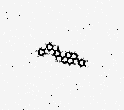 Cc1ccc(-c2ccc3ccc4c(-c5cc(C)c(-c6cccc7c6oc6ccccc67)cc5C)ccc5ccc2c3c54)cc1